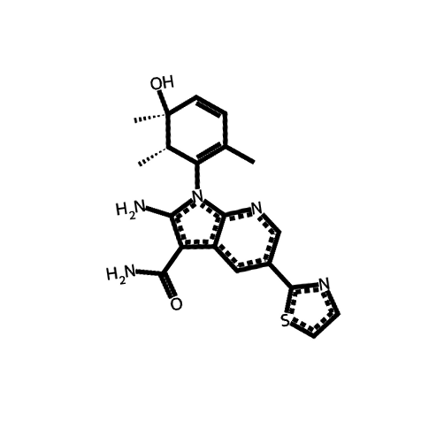 CC1=C(n2c(N)c(C(N)=O)c3cc(-c4nccs4)cnc32)[C@H](C)[C@@](C)(O)C=C1